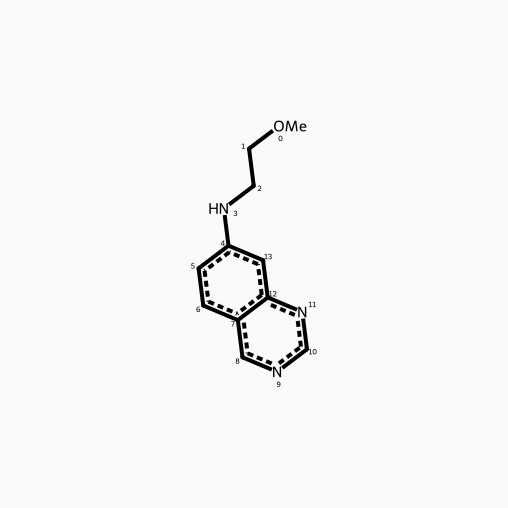 COCCNc1ccc2cncnc2c1